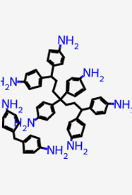 Nc1ccc(C(CCC(CCC(c2ccc(N)cc2)c2ccc(N)cc2)(c2ccc(N)cc2)c2ccc(N)cc2)c2ccc(N)cc2)cc1.Nc1ccc(Cc2ccc(N)cc2)cc1